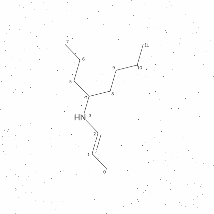 CC=CNC(CCC)CCCC